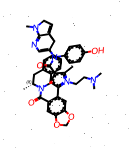 Cc1c(C(=O)N(C2=CN=C3C(=CCN3C)C2)c2ccc(O)cc2)cc(-c2cc3c(cc2C(=O)N2Cc4ccccc4C[C@H]2C)OCO3)n1CCN(C)C